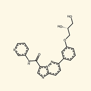 O=C(Nc1cccnc1)c1cnc2ccc(-c3cccc(OC[C@H](O)CO)c3)nn12